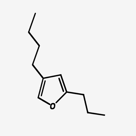 CCCCc1coc(CCC)c1